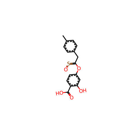 Cc1ccc(CC(Oc2ccc(C(=O)O)c(O)c2)=S=O)cc1